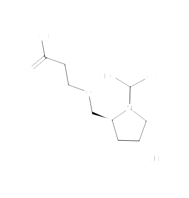 CC(=O)CCOC[C@@H]1C[C@@H](C)CN1C(C)C